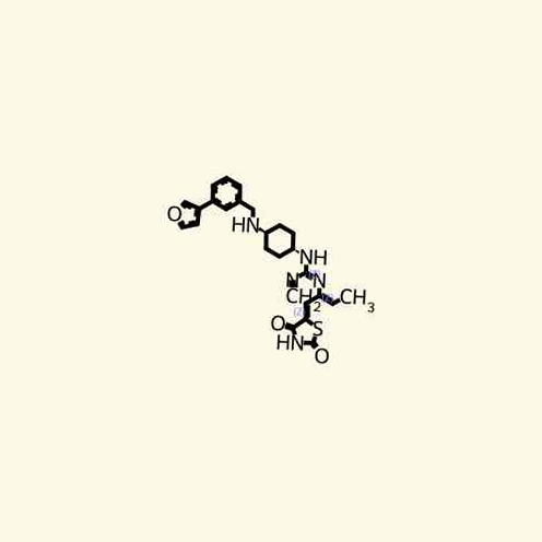 C=N\C(=N/C(=C\C)/C=C1\SC(=O)NC1=O)N[C@H]1CC[C@H](NCc2cccc(-c3ccoc3)c2)CC1